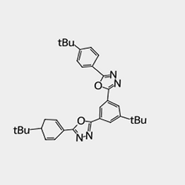 CC(C)(C)c1ccc(-c2nnc(-c3cc(-c4nnc(C5=CCC(C(C)(C)C)C=C5)o4)cc(C(C)(C)C)c3)o2)cc1